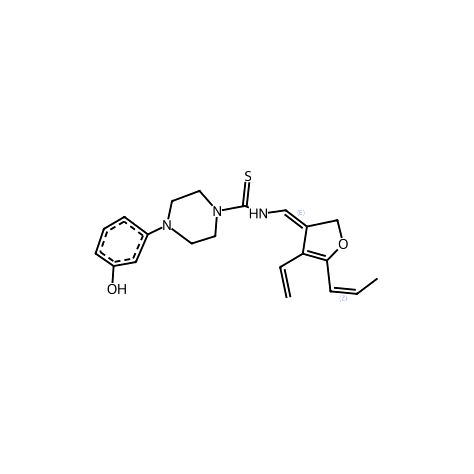 C=CC1=C(/C=C\C)OC/C1=C/NC(=S)N1CCN(c2cccc(O)c2)CC1